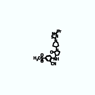 CC(C)c1nsc(N2CCC(N3CCC(Nc4ccc(S(C)(=O)=O)cc4C#N)C3=O)CC2)n1